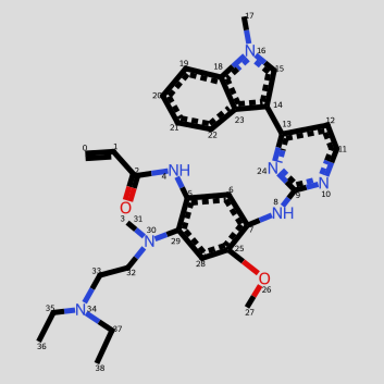 C=CC(=O)Nc1cc(Nc2nccc(-c3cn(C)c4ccccc34)n2)c(OC)cc1N(C)CCN(CC)CC